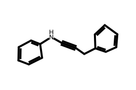 C(#CNc1ccccc1)Cc1ccccc1